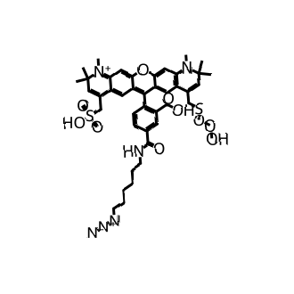 CN1c2cc3c(cc2C(CSOOO)=CC1(C)C)C(c1ccc(C(=O)NCCCCCCN=[N+]=[N-])cc1C(=O)O)=c1cc2c(cc1O3)=[N+](C)C(C)(C)C=C2CS(=O)(=O)O